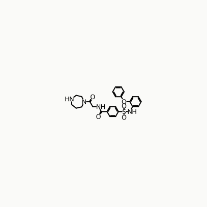 O=C(NCC(=O)N1CCCNCC1)c1ccc(S(=O)(=O)Nc2ccccc2Oc2ccccc2)cc1